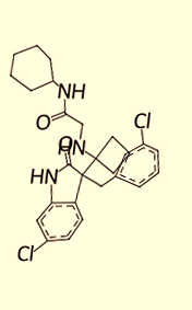 O=C(CNC1(C2(Cc3cccc(Cl)c3)C(=O)Nc3cc(Cl)ccc32)CCC1)NC1CCCCC1